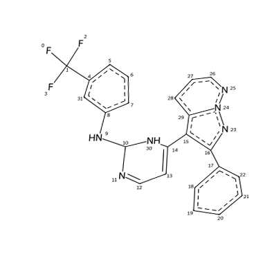 FC(F)(F)c1cccc(NC2N=CC=C(c3c(-c4ccccc4)nn4ncccc34)N2)c1